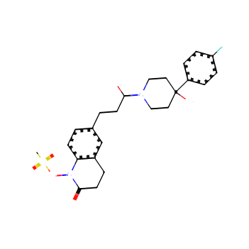 CS(=O)(=O)ON1C(=O)CCc2cc(CCC(O)N3CCC(O)(c4ccc(F)cc4)CC3)ccc21